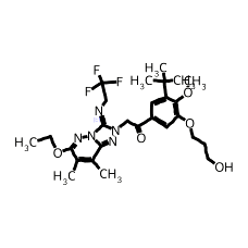 CCOc1nn2/c(=N/CC(F)(F)F)n(CC(=O)c3cc(OCCCO)c(OC)c(C(C)(C)C)c3)nc2c(C)c1C